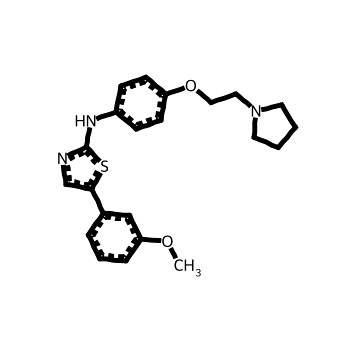 COc1cccc(-c2cnc(Nc3ccc(OCCN4CCCC4)cc3)s2)c1